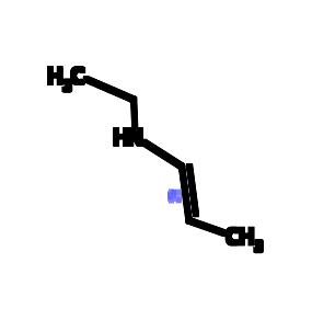 C/C=C/NCC